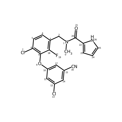 CN(Cc1ccc(Cl)c(Oc2cc(Cl)cc(C#N)c2)c1F)C(=O)c1ccc[nH]1